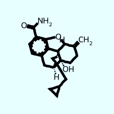 C=C1CC[C@@]2(O)[C@H]3Cc4ccc(C(N)=O)c5c4[C@@]2(CCC3CC2CC2)[C@H]1O5